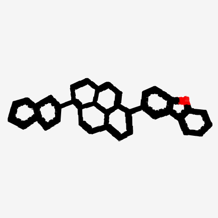 C1=CC2=C(c3ccc4ccccc4c3)C=CC3=CC=C4C(c5ccc6oc7ccccc7c6c5)=CC=C1C4C32